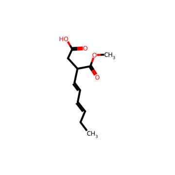 CCC=CC=CC(CC(=O)O)C(=O)OC